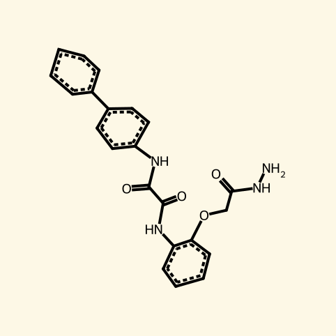 NNC(=O)COc1ccccc1NC(=O)C(=O)Nc1ccc(-c2ccccc2)cc1